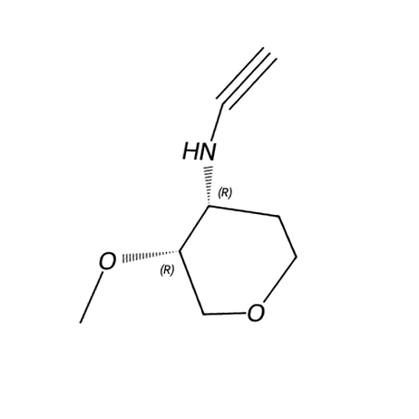 C#CN[C@@H]1CCOC[C@@H]1OC